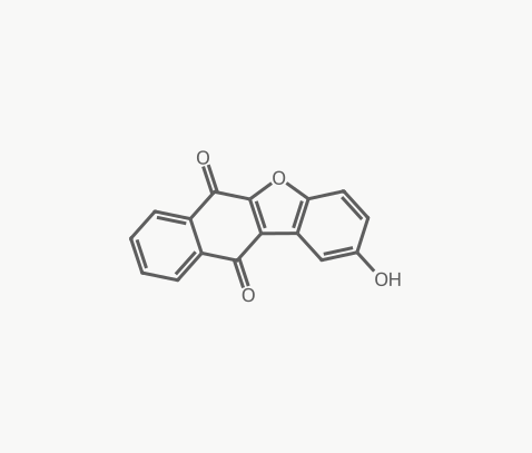 O=C1c2ccccc2C(=O)c2c1oc1ccc(O)cc21